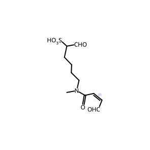 CN(CCCCC(C=O)S(=O)(=O)O)C(=O)/C=C\C=O